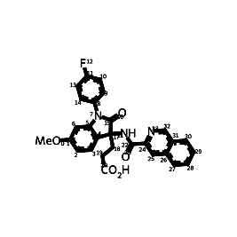 COc1ccc2c(c1)N(c1ccc(F)cc1)C(=O)C2(CCC(=O)O)NC(=O)c1cc2ccccc2cn1